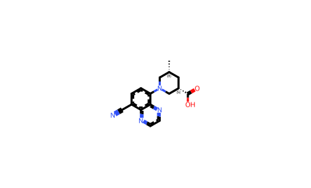 C[C@@H]1C[C@H](C(=O)O)CN(c2ccc(C#N)c3nccnc23)C1